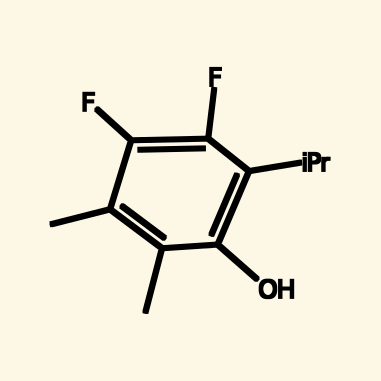 Cc1c(C)c(F)c(F)c(C(C)C)c1O